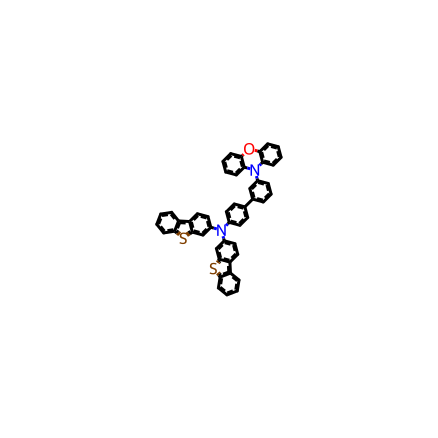 c1cc(-c2ccc(N(c3ccc4c(c3)sc3ccccc34)c3ccc4c(c3)sc3ccccc34)cc2)cc(N2c3ccccc3Oc3ccccc32)c1